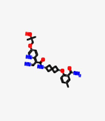 Cc1ccc(OC2CC3(CC(NC(=O)/C(C=N)=C4\C=CC(OCC(C)(C)O)=CN4)C3)C2)c(C(N)=O)c1